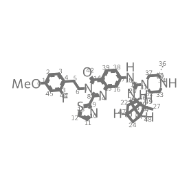 COc1ccc(CCn2c(-c3nccs3)nc3cc(NC(=N[C@H]4C[C@H]5C[C@@H]([C@@H]4C)C5(C)C)N4CCN[C@@H](C)C4)ccc3c2=O)c(F)c1